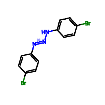 Brc1ccc(/N=N/Nc2ccc(Br)cc2)cc1